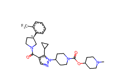 CN1CCC(OC(=O)N2CCC(n3ncc(C(=O)N4CC[C@@H](c5ccccc5C(F)(F)F)C4)c3C3CC3)CC2)CC1